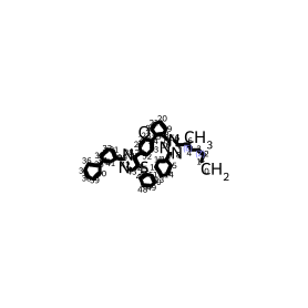 C=C/C=C\C=C(/C)c1nc(-c2ccccc2)nc(-c2cccc3oc4cc(-c5nc(-c6cccc(-c7ccccc7)c6)ncc5Sc5ccccc5)ccc4c23)n1